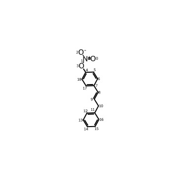 O=[N+]([O-])Oc1ccc(C=CCc2ccccc2)cc1